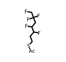 CC(=O)SCCC(F)C(F)CC(F)(F)CF